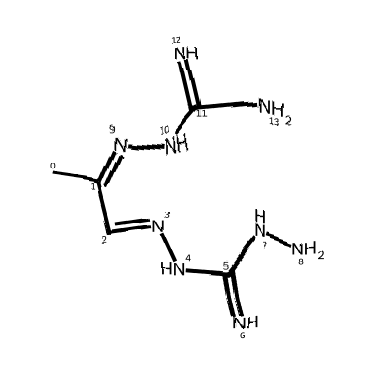 CC(C=NNC(=N)NN)=NNC(=N)N